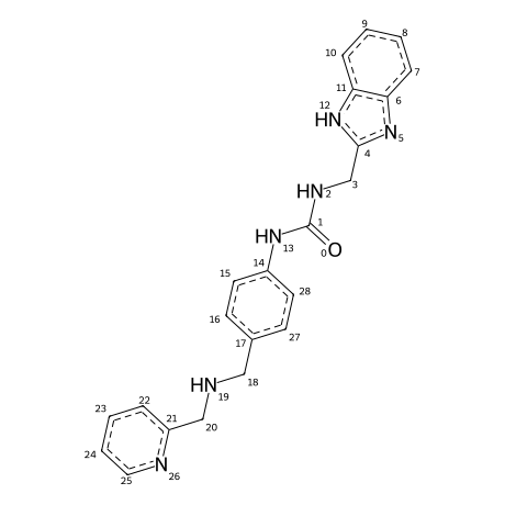 O=C(NCc1nc2ccccc2[nH]1)Nc1ccc(CNCc2ccccn2)cc1